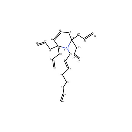 C=CCCCC=CCN1C(CC=C)(CC=C)C=CCC1(CC=C)CC=C